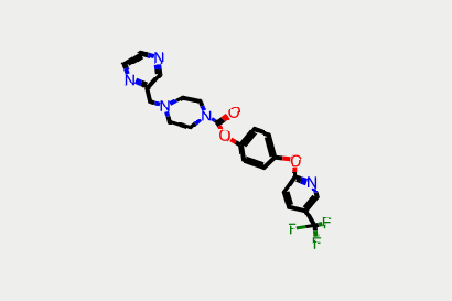 O=C(Oc1ccc(Oc2ccc(C(F)(F)F)cn2)cc1)N1CCN(Cc2cnccn2)CC1